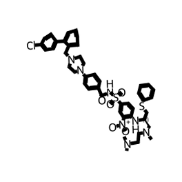 CN(C)CCN(C)C[C@H](CSc1ccccc1)Nc1ccc(S(=O)(=O)NC(=O)c2ccc(N3CCN(Cc4ccccc4-c4ccc(Cl)cc4)CC3)cc2)cc1[N+](=O)[O-]